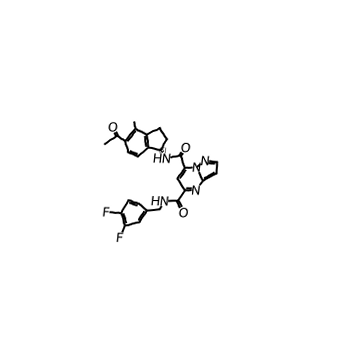 CC(=O)c1ccc2c(c1C)CC[C@@H]2NC(=O)c1cc(C(=O)NCc2ccc(F)c(F)c2)nc2ccnn12